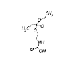 C=CP(=O)(OCC)OCCNC(=O)O